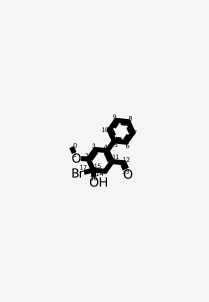 COC1=CC(c2ccccc2)=C(C=O)CC1(O)Br